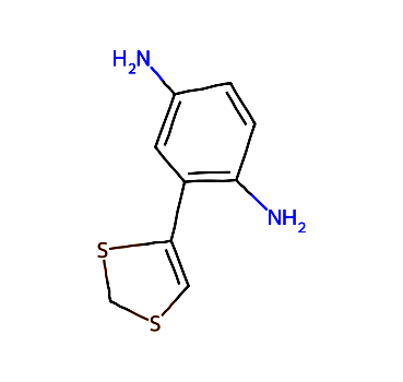 Nc1ccc(N)c(C2=CSCS2)c1